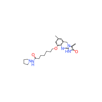 C=c1c(=O)[nH]c2n1Cc1cc(C)cc(OCCCCCCC(=O)NN3CCCC3)c1N=2